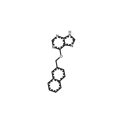 c1ccc2cc(COc3ncnc4[nH]cnc34)ccc2c1